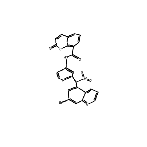 O=C(Nc1ccnc(N(c2cc(Br)cc3ncccc23)[SH](=O)=O)c1)c1cccc2ccc(=O)oc12